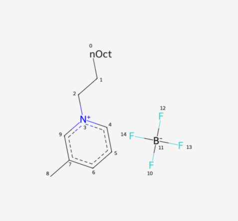 CCCCCCCCCC[n+]1cccc(C)c1.F[B-](F)(F)F